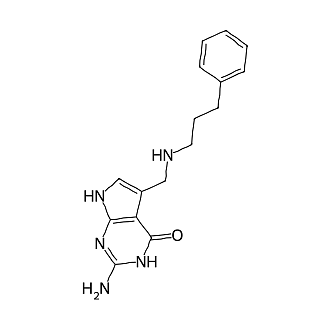 Nc1nc2[nH]cc(CNCCCc3ccccc3)c2c(=O)[nH]1